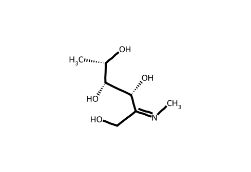 CN=C(CO)[C@@H](O)[C@H](O)[C@H](C)O